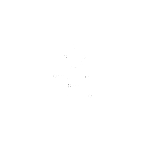 Cc1nc2c(=O)n(C)c(=O)oc2s1